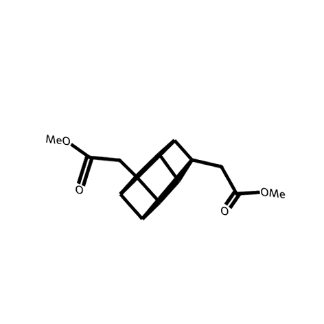 COC(=O)CC12C3C4C1C1C2C3C41CC(=O)OC